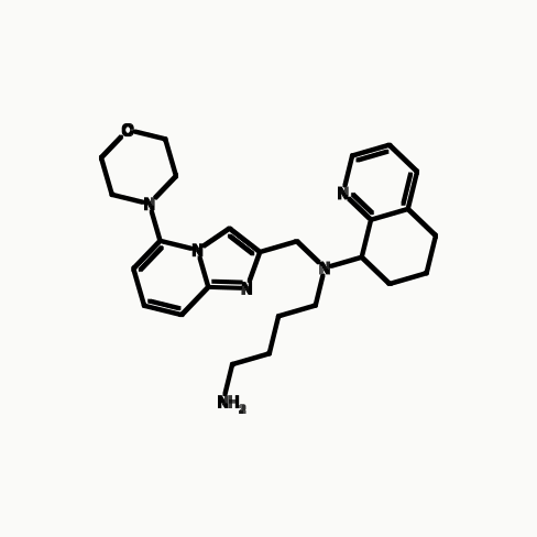 NCCCCN(Cc1cn2c(N3CCOCC3)cccc2n1)C1CCCc2cccnc21